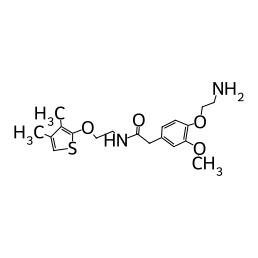 COc1cc(CC(=O)NCCOc2scc(C)c2C)ccc1OCCN